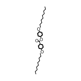 CCCCCCCCCCOc1ccc(OC(=O)c2ccc(OCCCCCCCCCC)cc2)cc1